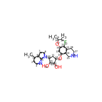 Cc1ccnc2c1ccn2[C@@H]1C[C@H](Oc2cc(OC(C)C)c(F)c3c2CNCC3)[C@@H](O)[C@H]1O